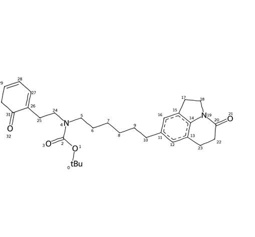 CC(C)(C)OC(=O)N(CCCCCCc1cc2c3c(c1)CCN3C(=O)CC2)CCC1=CC=CCC1=O